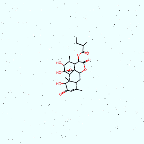 CCC(C)C(=O)OC1C(=O)OC2CC3C(C)=CC(=O)C(O)C3(C)C3C4(O)OCC23C1C(C)C4O